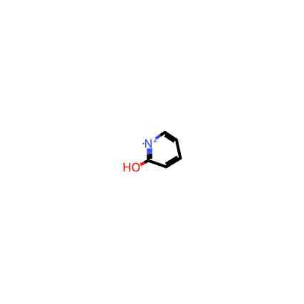 OC1=[N+]C=CC=C1